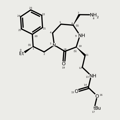 CC[C@H](CN1CC[C@@H](CN)N[C@@H](CCNC(=O)OC(C)(C)C)C1=O)c1ccccc1